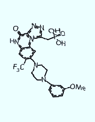 COc1cccc(N2CCN(c3cc4c(cc3C(F)(F)F)[nH]c(=O)c3nnc(CP(=O)(O)O)n34)CC2)c1